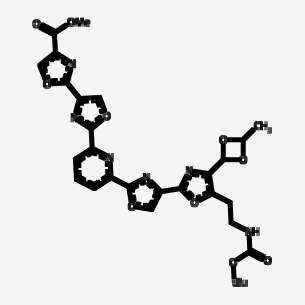 COC(=O)c1coc(-c2coc(-c3cccc(-c4nc(-c5nc(C6OC(C)O6)c(CCNC(=O)OC(C)(C)C)o5)co4)n3)n2)n1